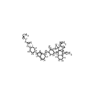 COCCNCc1ccc(-c2cc3nccc(Oc4ccc(N(C(=O)C5(C(N)=O)CC5)c5ccccc5OC)cc4F)c3s2)cc1